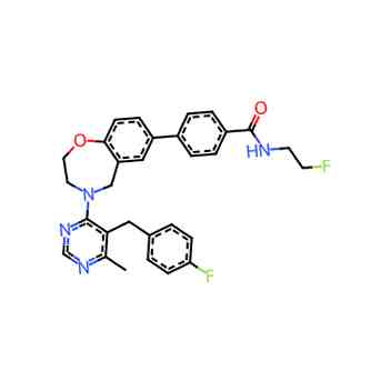 Cc1ncnc(N2CCOc3ccc(-c4ccc(C(=O)NCCF)cc4)cc3C2)c1Cc1ccc(F)cc1